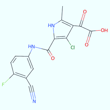 Cc1[nH]c(C(=O)Nc2ccc(F)c(C#N)c2)c(Cl)c1C(=O)C(=O)O